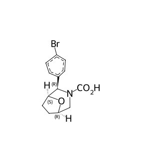 O=C(O)N1C[C@H]2CC[C@H](O2)[C@H]1c1ccc(Br)cc1